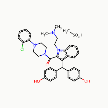 CN(C)CCn1c(C(=O)N2CCN(c3ccccc3Cl)CC2)c(C(c2ccc(O)cc2)c2ccc(O)cc2)c2ccccc21.CS(=O)(=O)O